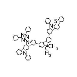 CC1(C)c2ccc(-c3ccc4c(c3)c3cc5c(cc3n4-c3nc(-c4ccccc4)nc(-c4ccccc4)n3)c3ccccc3n5-c3ccccc3)cc2-c2cc(-c3ccc4c(c3)c3ccc5c6ccccc6sc5c3n4-c3ccccc3)ccc21